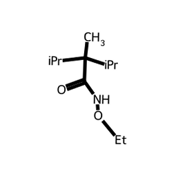 CCONC(=O)C(C)(C(C)C)C(C)C